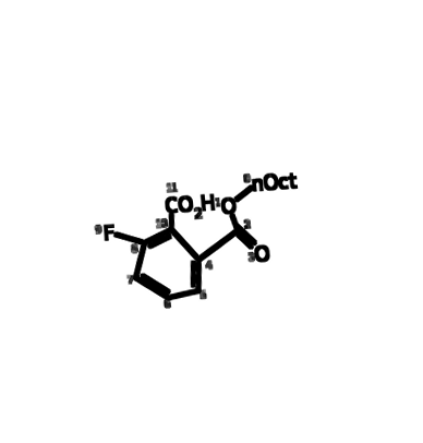 CCCCCCCCOC(=O)c1cccc(F)c1C(=O)O